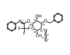 C[C@H]1O[C@H](O/C(=N/c2ccccc2)C(F)(F)F)[C@@H](O)[C@@H](OCc2ccccc2)[C@@H]1N=[N+]=[N-]